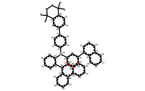 CC1(C)CCC(C)(C)c2cc(-c3ccc(N(c4cccc(-c5cccc6ccccc56)c4)c4ccccc4-c4cc5ccccc5c5ccccc45)cc3)ccc21